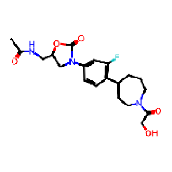 CC(=O)NCC1CN(c2ccc(C3CCCN(C(=O)CO)CC3)c(F)c2)C(=O)O1